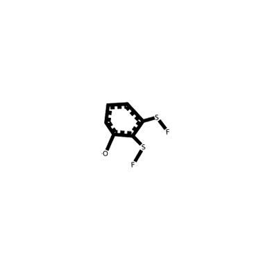 [O]c1cccc(SF)c1SF